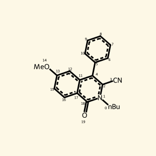 CCCCn1c(C#N)c(-c2ccccc2)c2cc(OC)ccc2c1=O